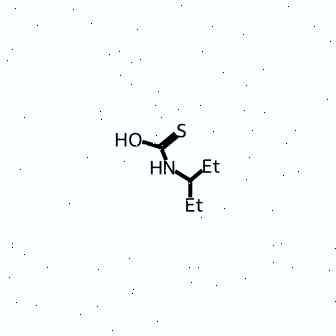 CCC(CC)NC(O)=S